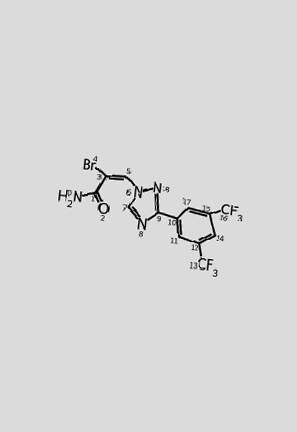 NC(=O)/C(Br)=C\n1cnc(-c2cc(C(F)(F)F)cc(C(F)(F)F)c2)n1